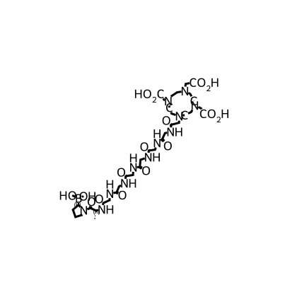 C[C@@H](NC(=O)CNC(=O)CNC(=O)CNC(=O)CNC(=O)CNC(=O)CNC(=O)CN1CCN(CC(=O)O)CCN(CC(=O)O)CCN(CC(=O)O)CC1)C(=O)N1CCC[C@H]1B(O)O